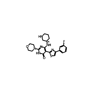 O=c1[nH]c(N2CCOCC2)nc(N[C@@H]2CCCNC2)c1-c1nc(-c2cccc(F)c2)cs1